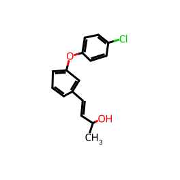 CC(O)/C=C/c1cccc(Oc2ccc(Cl)cc2)c1